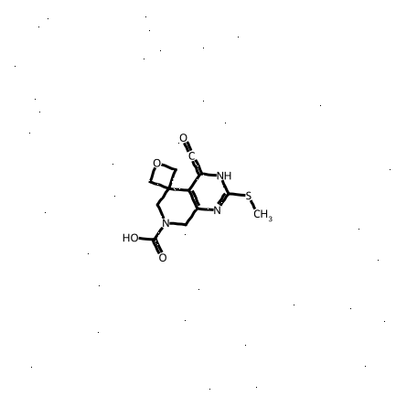 CSC1=NC2=C(C(=C=O)N1)C1(COC1)CN(C(=O)O)C2